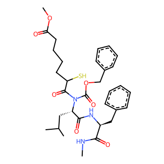 CNC(=O)[C@H](Cc1ccccc1)NC(=O)[C@H](CC(C)C)N(C(=O)OCc1ccccc1)C(=O)C(S)CCCCC(=O)OC